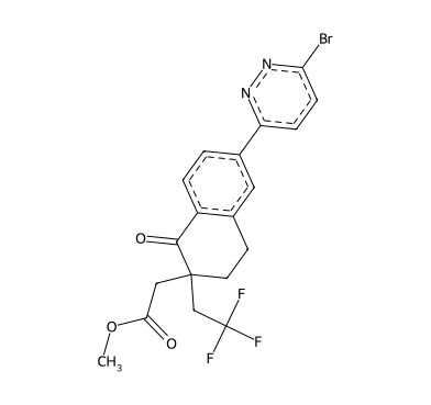 COC(=O)CC1(CC(F)(F)F)CCc2cc(-c3ccc(Br)nn3)ccc2C1=O